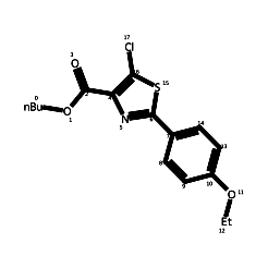 CCCCOC(=O)c1nc(-c2ccc(OCC)cc2)sc1Cl